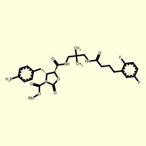 Bc1ccc(C[C@@H]2[C@@H](C(=O)NCC(C)(C)CNC(=O)CCCc3cc(F)ccc3F)OC(=O)N2C(=O)OC(C)(C)C)cc1